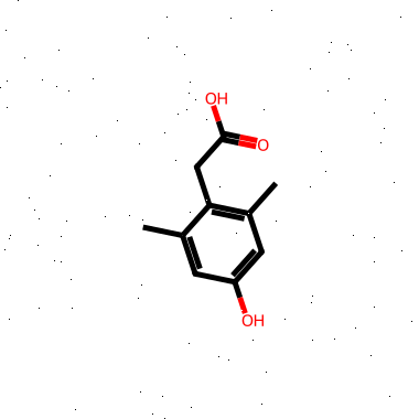 Cc1cc(O)cc(C)c1CC(=O)O